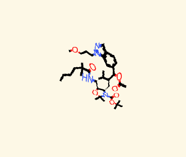 CCCCC(C)(C)C(=O)NC[C@@H]1OC(C)(C)N(C(=O)OC(C)(C)C)[C@H]1C[C@@H](C(C)C)C(OC(C)=O)c1ccc2cnn(CCCOC)c2c1